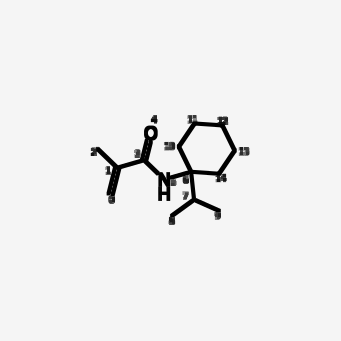 C=C(C)C(=O)NC1(C(C)C)CCCCC1